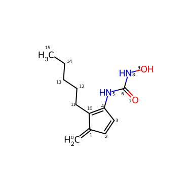 C=C1C=CC(NC(=O)NO)=C1CCCCC